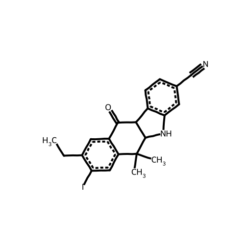 CCc1cc2c(cc1I)C(C)(C)C1Nc3cc(C#N)ccc3C1C2=O